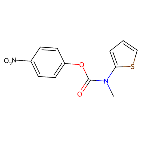 CN(C(=O)Oc1ccc([N+](=O)[O-])cc1)c1cccs1